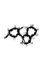 Cc1ccc(C)c(-c2nccc3ccccc23)c1